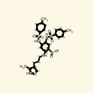 Cc1ccc(S(=O)(=O)Nc2cc(NCCCc3cn[nH]c3C)c([N+](=O)[O-])cc2NS(=O)(=O)c2ccc(C)cc2)cc1